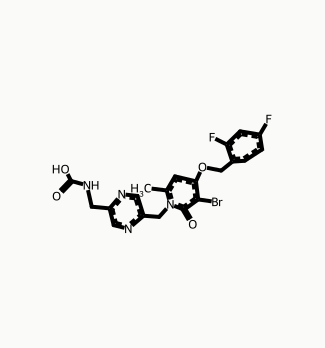 Cc1cc(OCc2ccc(F)cc2F)c(Br)c(=O)n1Cc1cnc(CNC(=O)O)cn1